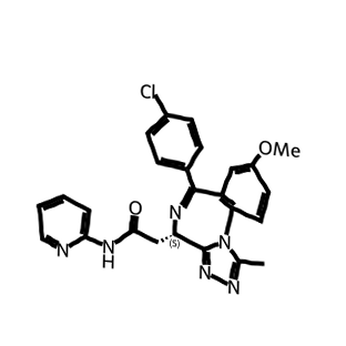 COc1ccc2c(c1)C(c1ccc(Cl)cc1)=N[C@@H](CC(=O)Nc1ccccn1)c1nnc(C)n1-2